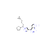 c1nc(-c2cnn(C(CCCC3CC3)C3CCCC3)c2)c2cc[nH]c2n1